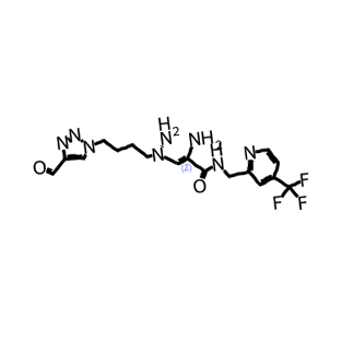 N/C(=C\N(N)CCCCn1cc(C=O)nn1)C(=O)NCc1cc(C(F)(F)F)ccn1